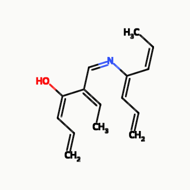 C=C/C=C(\C=C/C)/N=C\C(=C\C)C(\O)=C/C=C